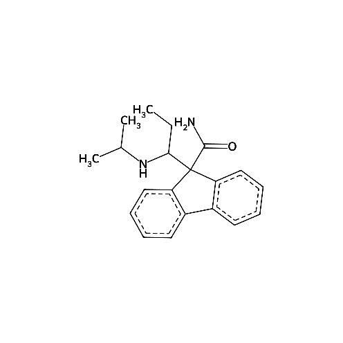 CCC(NC(C)C)C1(C(N)=O)c2ccccc2-c2ccccc21